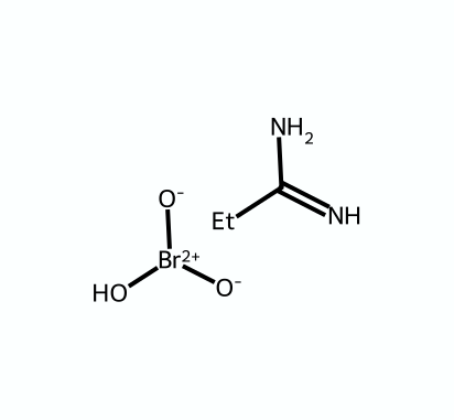 CCC(=N)N.[O-][Br+2]([O-])O